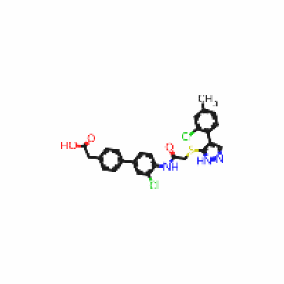 Cc1ccc(-c2cn[nH]c2SCC(=O)Nc2ccc(-c3ccc(CC(=O)O)cc3)cc2Cl)c(Cl)c1